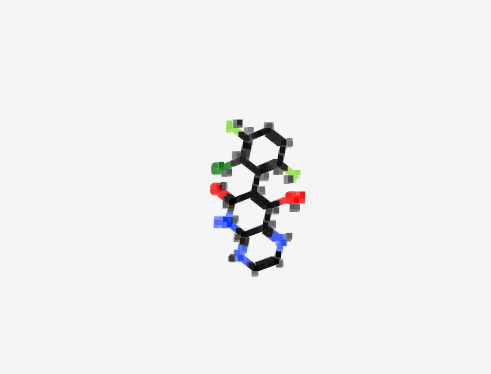 O=c1[nH]c2nccnc2c(O)c1-c1c(F)ccc(F)c1Cl